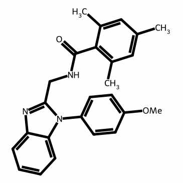 COc1ccc(-n2c(CNC(=O)c3c(C)cc(C)cc3C)nc3ccccc32)cc1